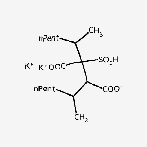 CCCCCC(C)C(C(=O)[O-])C(C(=O)[O-])(C(C)CCCCC)S(=O)(=O)O.[K+].[K+]